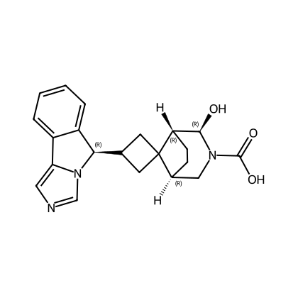 O=C(O)N1C[C@@H]2CC[C@@H]([C@H]1O)C21CC([C@@H]2c3ccccc3-c3cncn32)C1